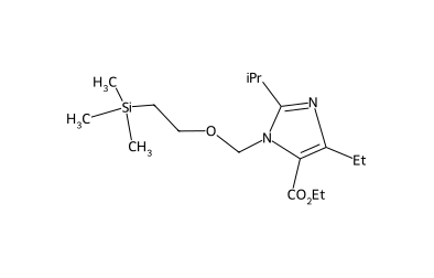 CCOC(=O)c1c(CC)nc(C(C)C)n1COCC[Si](C)(C)C